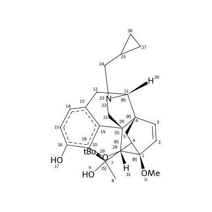 CO[C@]12C=C[C@@]3(CC1[C@](C)(O)C(C)(C)C)[C@H]1Cc4ccc(O)c5c4[C@@]3(CCN1CC1CC1)[C@H]2O5